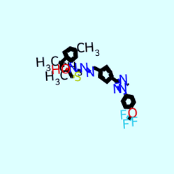 Cc1ccc(C(C)C)c(N2/C(=N/N=C/c3ccc(-c4ncn(-c5ccc(OC(F)(F)F)cc5)n4)cc3)SCC2(C)O)c1